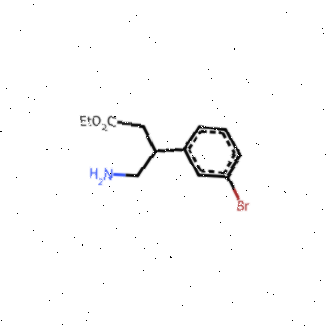 CCOC(=O)CC(CN)c1cccc(Br)c1